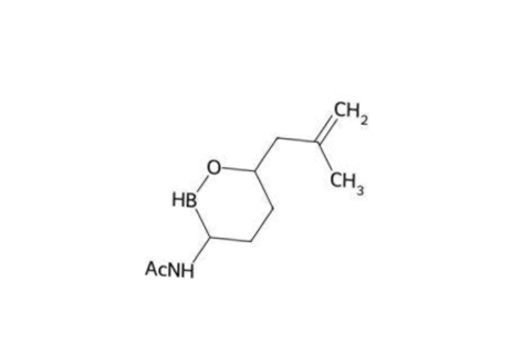 C=C(C)CC1CCC(NC(C)=O)BO1